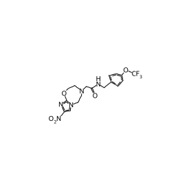 O=C(CN1CCOc2nc([N+](=O)[O-])cn2CC1)NCc1ccc(OC(F)(F)F)cc1